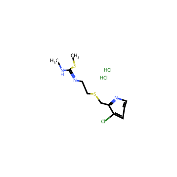 CN/C(=N/CCSCc1ncccc1Cl)SC.Cl.Cl